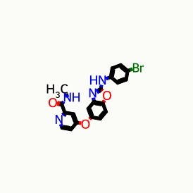 CNC(=O)c1cc(Oc2ccc3oc(Nc4ccc(Br)cc4)nc3c2)ccn1